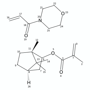 C=C(C)C(=O)OC1C[C@H]2CC[C@@]1(C)C2(C)C.C=CC(=O)N1CCOCC1